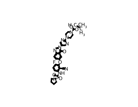 CC(C)(C)OC(=O)N1CCN(c2ncc(-n3cnc4ccc(Oc5c(F)ccc(NS(=O)(=O)N6CCCC6)c5C#N)cc4c3=O)cn2)CC1